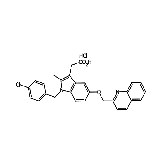 Cc1c(CC(=O)O)c2cc(OCc3ccc4ccccc4n3)ccc2n1Cc1ccc(Cl)cc1.Cl